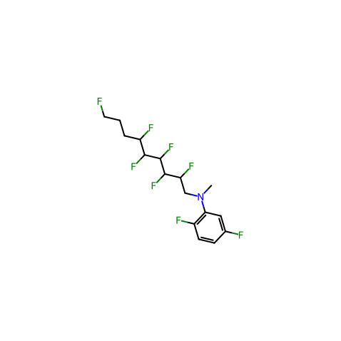 CN(CC(F)C(F)C(F)C(F)C(F)CCCF)c1cc(F)ccc1F